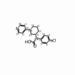 O=C(O)N(c1ccc(Cl)cc1)[C@@H]1CCCN(c2ccncc2)C1